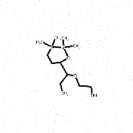 CCC(OCCO)C1CC[Si](C)(C)[Si](C)(C)O1